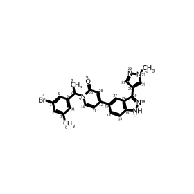 Cc1cc(Br)cc(C(C)n2ccc(-c3ccc4[nH]nc(-c5cnn(C)c5)c4c3)cc2=O)c1